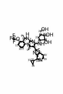 Cc1nc(N[C@H](C)c2ccccc2OC(F)(F)F)nc(N[C@@H]2C[C@H](CO)[C@@H](O)[C@H]2O)c1-c1nc2c(C3CC3)nccc2s1